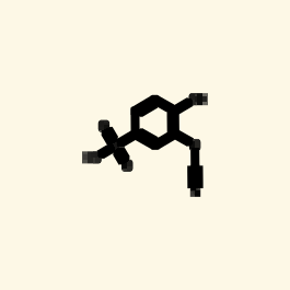 N#COc1cc(S(=O)(=O)O)ccc1O